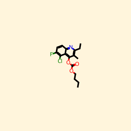 CCCCOC(=O)Oc1c(C)c(CC)nc2ccc(F)c(Cl)c12